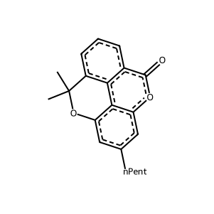 CCCCCc1cc2c3c(c1)oc(=O)c1cccc(c13)C(C)(C)O2